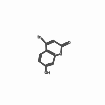 O=c1cc(Br)c2ccc(O)cc2o1